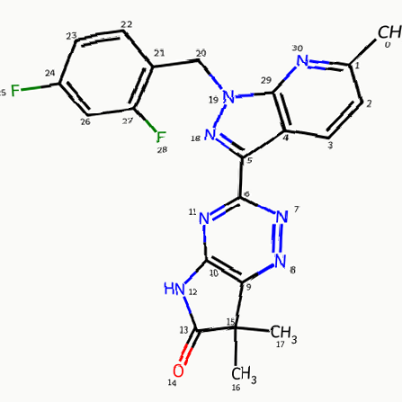 Cc1ccc2c(-c3nnc4c(n3)NC(=O)C4(C)C)nn(Cc3ccc(F)cc3F)c2n1